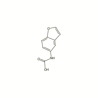 O=C(O)Nc1ccc2occc2c1